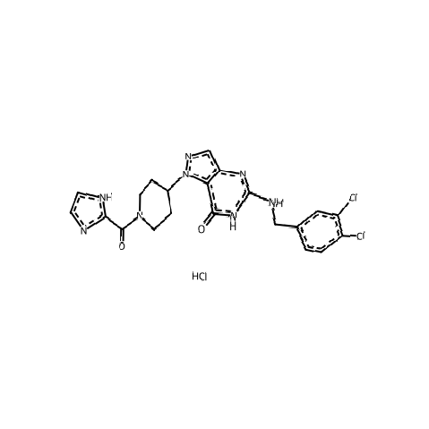 Cl.O=C(c1ncc[nH]1)N1CCC(n2ncc3nc(NCc4ccc(Cl)c(Cl)c4)[nH]c(=O)c32)CC1